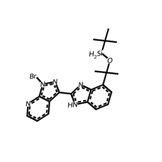 CC(C)(C)[SiH2]OC(C)(C)c1cccc2[nH]c(-c3nn(Br)c4ncccc34)nc12